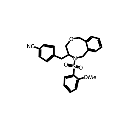 COc1ccccc1S(=O)(=O)N1Cc2ccccc2COCC1Cc1ccc(C#N)cc1